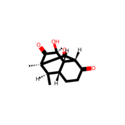 C[C@@H]1[C@H]2CCC(=O)[C@H]3C(=O)[C@]1(C)C(=O)[C@@](C)(O)[C@H]32